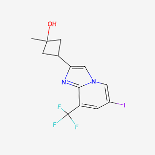 CC1(O)CC(c2cn3cc(I)cc(C(F)(F)F)c3n2)C1